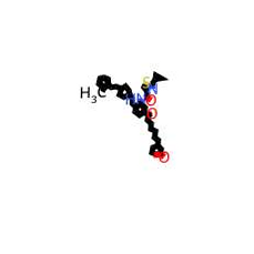 Cc1ccccc1CCC1CCC(CCc2ccc(C(=O)CCCCCCC3CCCC(=O)C3)cc2NC(=O)c2csc(C3CC3)n2)CC1